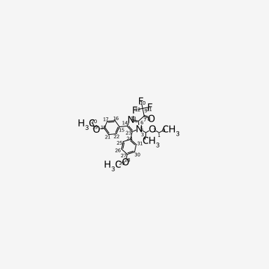 CCOC(C)n1c(C(=O)C(F)(F)F)nc(-c2ccc(OC)cc2)c1-c1ccc(OC)cc1